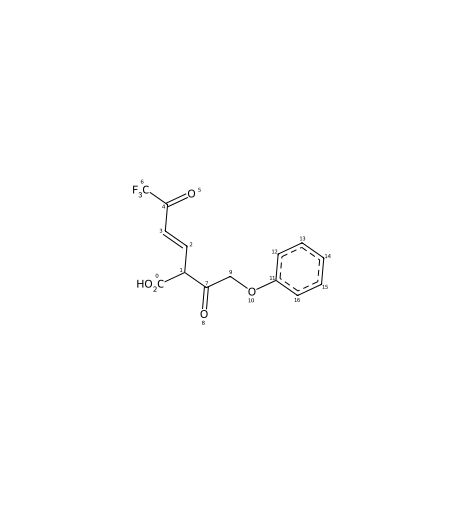 O=C(O)C(C=CC(=O)C(F)(F)F)C(=O)COc1ccccc1